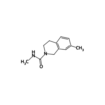 CNC(=O)N1CCc2ccc(C)cc2C1